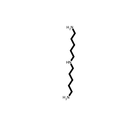 NCCCCCNCCCCCN